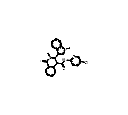 CN1C(=O)c2ccccc2C(C(=O)Nc2ccc(Cl)cn2)C1c1cn(C)c2ccccc12